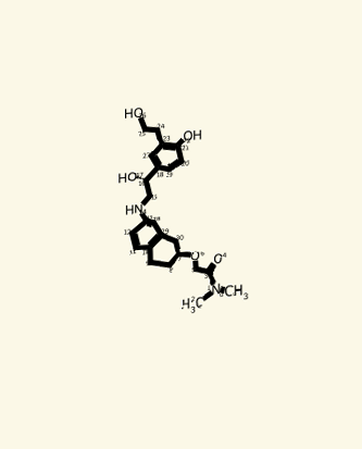 CN(C)C(=O)COC1CCc2ccc(NC[C@H](O)c3ccc(O)c(CCO)c3)cc2C1